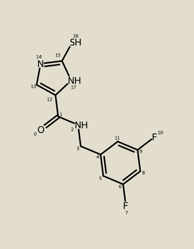 O=C(NCc1cc(F)cc(F)c1)c1cnc(S)[nH]1